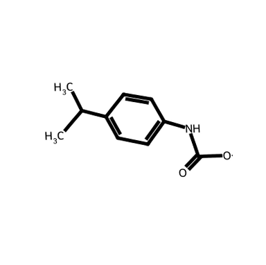 CC(C)c1ccc(NC([O])=O)cc1